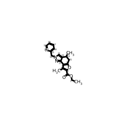 CCOC(=O)c1oc2c(c1C)-c1nn(Cc3ccccn3)cc1C(C)C2